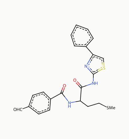 CSCCC(NC(=O)c1ccc(C=O)cc1)C(=O)Nc1nc(-c2ccccc2)cs1